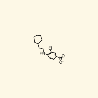 O=[N+]([O-])c1ccc(NCCC2CCCCC2)c(Cl)c1